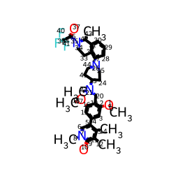 COc1cc(-c2cn(C)c(=O)c(C)c2C)cc(OC)c1CN(C)C1CCN(c2cccc3c2CCN(C(=O)C(F)(F)F)C3C)CC1